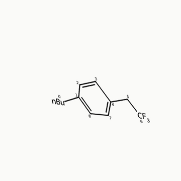 [CH2]CCCc1ccc(CC(F)(F)F)cc1